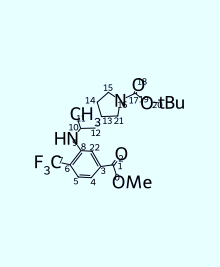 COC(=O)c1ccc(C(F)(F)F)c(NC(C)C[C@@H]2CCN(C(=O)OC(C)(C)C)C2)c1